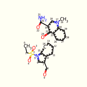 CCS(=O)(=O)n1cc(C=O)c2ccccc21.Cn1cc(C(N)=O)c(=O)c2ccccc21